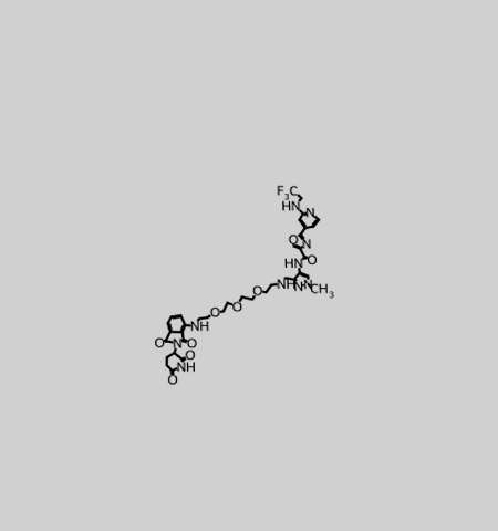 Cn1cc(NC(=O)c2coc(-c3ccnc(NCC(F)(F)F)c3)n2)c(CNCCOCCOCCOCCNc2cccc3c2C(=O)N(C2CCC(=O)NC2=O)C3=O)n1